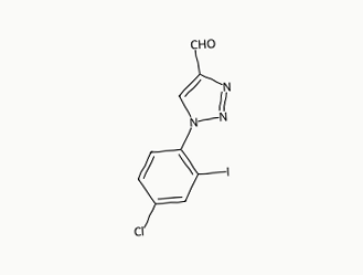 O=Cc1cn(-c2ccc(Cl)cc2I)nn1